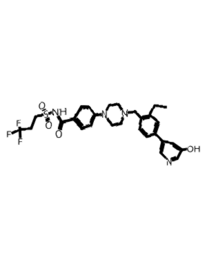 CCc1cc(-c2cncc(O)c2)ccc1CN1CCN(c2ccc(C(=O)NS(=O)(=O)CCC(F)(F)F)cc2)CC1